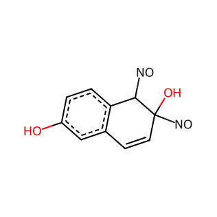 O=NC1c2ccc(O)cc2C=CC1(O)N=O